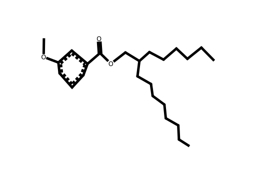 CCCCCCCCC(CCCCCC)COC(=O)c1cccc(OC)c1